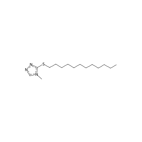 CCCCCCCCCCCCSc1nncn1C